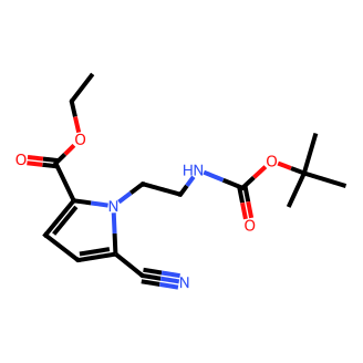 CCOC(=O)c1ccc(C#N)n1CCNC(=O)OC(C)(C)C